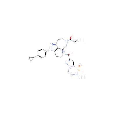 C=CC(=O)N1CCc2nn(-c3ccc(C4CC4)cc3)c3c2[C@@H](C1)N(C(=O)c1cc2n(n1)CCN(C)S2(=O)=O)CC3